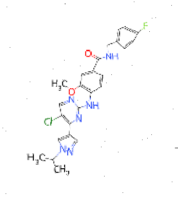 COc1cc(C(=O)NCc2ccc(F)cc2)ccc1Nc1ncc(Cl)c(-c2cnn(C(C)C)c2)n1